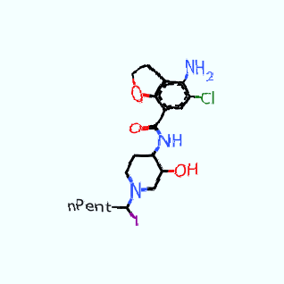 CCCCCC(I)N1CCC(NC(=O)c2cc(Cl)c(N)c3c2OCC3)C(O)C1